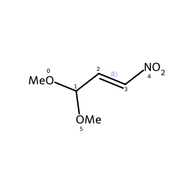 COC(/C=C/[N+](=O)[O-])OC